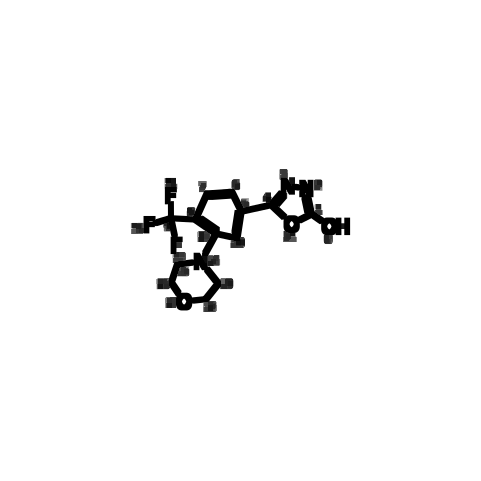 Oc1nnc(-c2ccc(C(F)(F)F)c(N3CCOCC3)c2)o1